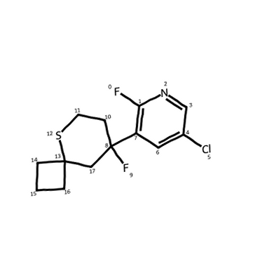 Fc1ncc(Cl)cc1C1(F)CCSC2(CCC2)C1